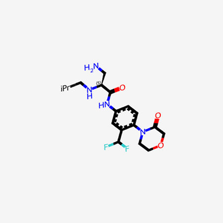 CC(C)CN[C@@H](CN)C(=O)Nc1ccc(N2CCOCC2=O)c(C(F)F)c1